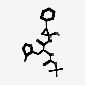 C=C(NC(Cc1sccc1F)C(=O)N[C@]1(N)CC1c1ccccc1)OC(C)(C)C